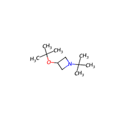 CC(C)(C)OC1CN(C(C)(C)C)C1